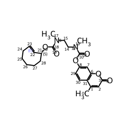 Cc1cc(=O)oc2cc(OC(=O)N(C)CCN(C)C(=O)O[C@@H]3/C=C/CCCCC3)ccc12